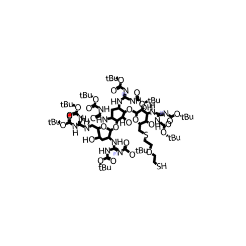 C=C(NC(=O)OC(C)(C)C)NC1CC(N/C(=N\C(=O)OC(C)(C)C)NC(=O)OC(C)(C)C)C(OC2OC(CSCCOCCS)C(O)C(N/C(=N/C(=O)OC(C)(C)C)NC(=O)OC(C)(C)C)C2O)C(O)C1OC1OC(CNC(=NC(=O)OC(C)(C)C)NC(=O)OC(C)(C)C)C(O)CC1N/C(=N\C(=O)OC(C)(C)C)NC(=O)OC(C)(C)C